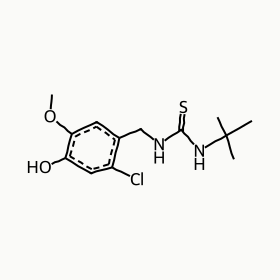 COc1cc(CNC(=S)NC(C)(C)C)c(Cl)cc1O